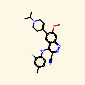 COc1cc2nnc(C#N)c(Nc3ccc(C)cc3F)c2cc1C1=CCN(C(C)C)CC1